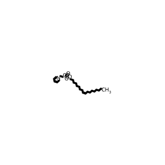 CCCCCCCC/C=C\CCCCCCCCOP(=O)([O-])OCC[n+]1ccccc1